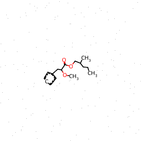 CCCC(C)COC(=O)C(Cc1ccccc1)OC